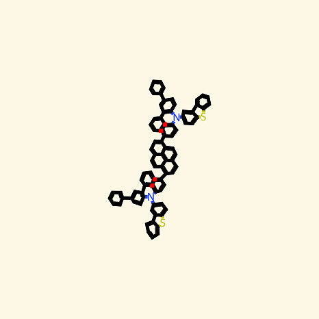 c1ccc(-c2ccc(N(c3ccc(-c4ccc5ccc6c(-c7ccc(N(c8ccc9sc%10ccccc%10c9c8)c8ccc(-c9ccccc9)cc8-c8ccccc8)cc7)ccc7ccc4c5c76)cc3)c3ccc4sc5ccccc5c4c3)c(-c3ccccc3)c2)cc1